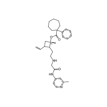 C=CC1C[C@](C)(OC(=O)C2(c3ccccc3)CCCCCC2)C1CCNCC(=O)Nc1ccnc(C)c1